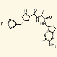 C[C@H](NC(=O)[C@H]1C[C@H](Cc2ccc(F)cc2)CN1)C(=O)NC1CCc2nc(N)c(F)cc21